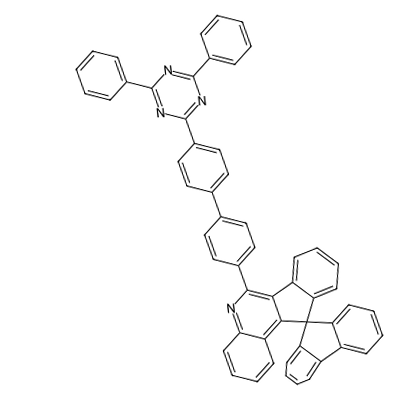 c1ccc(-c2nc(-c3ccccc3)nc(-c3ccc(-c4ccc(-c5nc6ccccc6c6c5-c5ccccc5C65c6ccccc6-c6ccccc65)cc4)cc3)n2)cc1